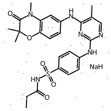 CCC(=O)NS(=O)(=O)c1ccc(Nc2ncc(C)c(Nc3ccc4c(c3)N(C)C(=O)C(C)(C)O4)n2)cc1.[NaH]